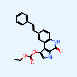 CCOC(=O)Oc1c[nH]c2c(=O)[nH]c3ccc(C=Cc4ccccc4)cc3c12